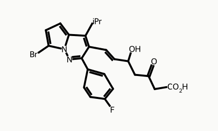 CC(C)c1c(C=CC(O)CC(=O)CC(=O)O)c(-c2ccc(F)cc2)nn2c(Br)ccc12